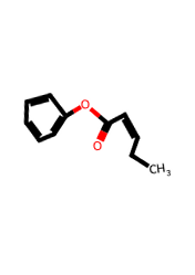 CC/C=C\C(=O)Oc1ccccc1